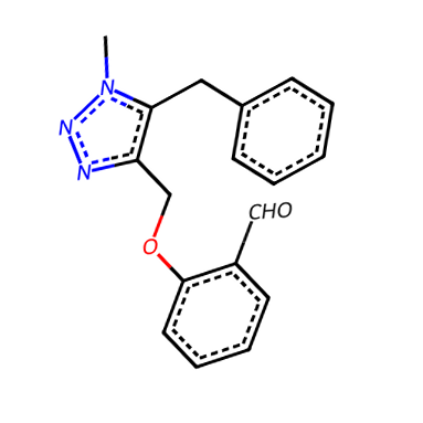 Cn1nnc(COc2ccccc2C=O)c1Cc1ccccc1